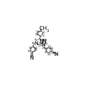 Cc1ccc(CCN(Cc2ccc(C#N)cc2)Cc2nncn2Cc2ccc(C#N)cc2)cc1